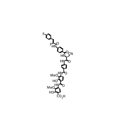 COc1c(NC(=O)c2ccc(NC(=O)c3ccc(NC(=O)[C@H](CC#N)NC(=O)c4ccc(NC(=O)/C(F)=C/c5ccc(F)cc5)cc4)cc3)c(OC)c2O)ccc(C(=O)O)c1O